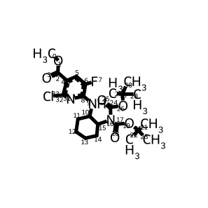 COC(=O)c1cc(F)c(NC2CCCCC2N(C(=O)OC(C)(C)C)C(=O)OC(C)(C)C)nc1Cl